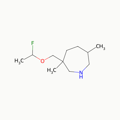 CC1CCC(C)(COC(C)F)CNC1